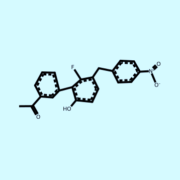 CC(=O)c1cccc(-c2c(O)ccc(Cc3ccc([N+](=O)[O-])cc3)c2F)c1